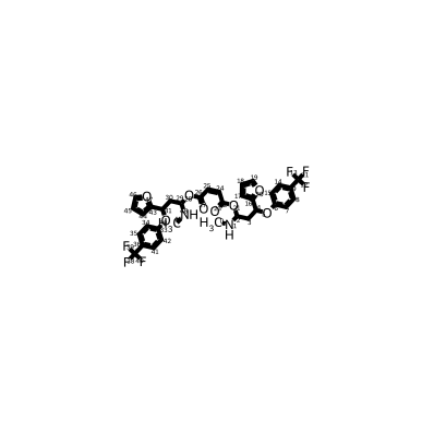 CNC(CC(Oc1ccc(C(F)(F)F)cc1)c1ccco1)OC(=O)/C=C\C(=O)OC(CC(Oc1ccc(C(F)(F)F)cc1)c1ccco1)NC